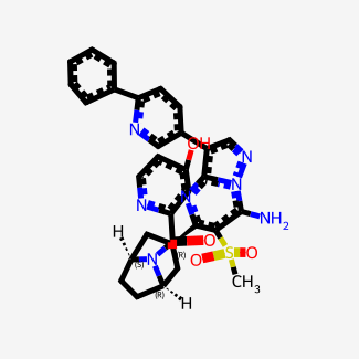 CS(=O)(=O)c1c([C@H]2C[C@H]3CC[C@@H](C2)N3C(=O)c2cc(O)ccn2)nc2c(-c3ccc(-c4ccccc4)nc3)cnn2c1N